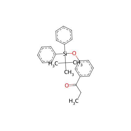 CCC(=O)c1cccc(O[Si](c2ccccc2)(c2ccccc2)C(C)(C)C)c1